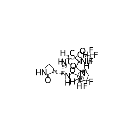 CC(C)(C)[C@H](NC(=O)C(F)(F)F)C(=O)N1[C@@H]2CC[C@H]([C@@H]1C(=O)N[C@@H](C#N)C[C@H]1CCCNC1=O)C(F)(F)C2